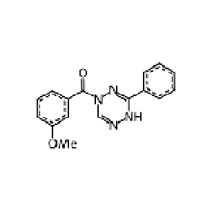 COc1cccc(C(=O)N2C=NNC(c3ccccc3)=N2)c1